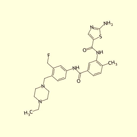 CCN1CCN(Cc2ccc(NC(=O)c3ccc(C)c(NC(=O)c4cnc(N)s4)c3)cc2CF)CC1